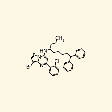 CCCC(CCCCC(c1ccccc1)c1ccccc1)Nc1cc(-c2ccccc2Cl)nc2c(Br)cnn12